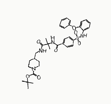 CC(C)(C)OC(=O)N1CCC(CNC(=O)C(C)(C)NC(=O)c2ccc(S(=O)(=O)Nc3ccccc3Oc3ccccc3)cc2)CC1